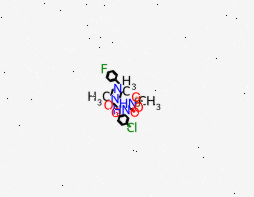 C[C@@H]1CN(Cc2ccc(F)cc2)[C@@H](C)CN1C(=O)COc1ccc(Cl)cc1NC(=O)NS(C)(=O)=O